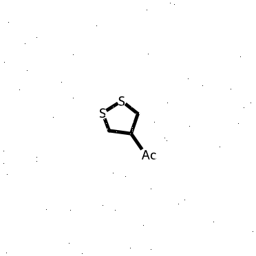 CC(=O)C1CSSC1